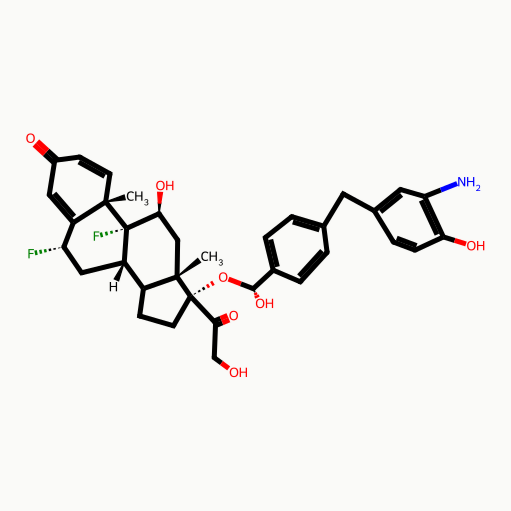 C[C@]12C=CC(=O)C=C1[C@@H](F)C[C@H]1C3CC[C@](O[C@@H](O)c4ccc(Cc5ccc(O)c(N)c5)cc4)(C(=O)CO)[C@@]3(C)C[C@H](O)[C@@]12F